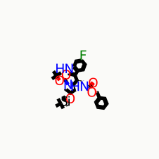 CC(C)(C)OC(=O)N1C[C@H](O[Si](C)(C)C(C)(C)C)C[C@@H]1[C@@H](CNC(=O)OCc1ccccc1)c1c[nH]c2cc(F)ccc12